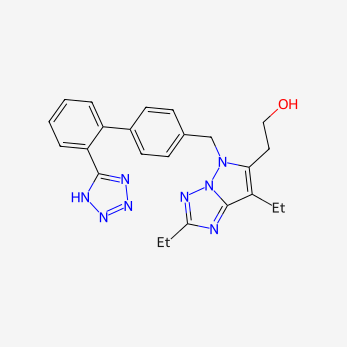 CCc1nc2c(CC)c(CCO)n(Cc3ccc(-c4ccccc4-c4nnn[nH]4)cc3)n2n1